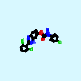 O=C(Nc1ccc(Cl)cc1)Oc1ccc2nc(-c3c(Cl)cccc3Cl)[nH]c2c1